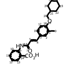 Cc1cc(/C=C/C(=O)Nc2ccccc2C(=O)O)ccc1OCC1CCCCC1